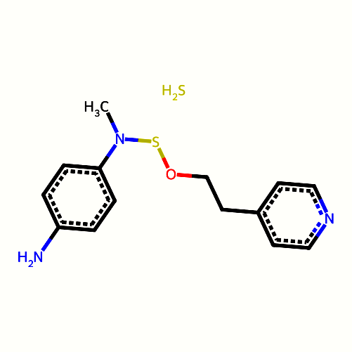 CN(SOCCc1ccncc1)c1ccc(N)cc1.S